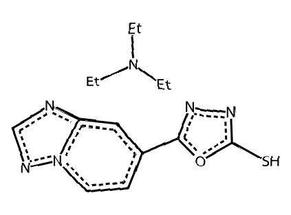 CCN(CC)CC.Sc1nnc(-c2ccn3ncnc3c2)o1